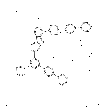 c1ccc(-c2ccc(-c3ccc(-c4cccc5c4oc4cc(-c6nc(-c7ccccc7)nc(-c7ccc(-c8ccccc8)cc7)n6)ccc45)cc3)cc2)cc1